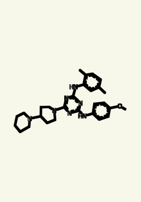 COc1ccc(Nc2nc(Nc3cc(C)ccc3C)nc(N3CCC(N4CCCCC4)CC3)n2)cc1